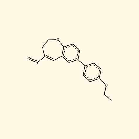 CCOc1ccc(-c2ccc3c(c2)C=C([C]=O)CCO3)cc1